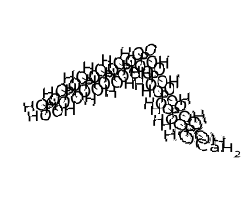 O=P(O)(O)O.O=P(O)(O)O.O=P(O)(O)O.O=P(O)(O)O.O=P(O)(O)O.O=P(O)(O)O.O=P(O)(O)O.O=P(O)(O)O.O=P(O)(O)O.O=P(O)(O)O.[CaH2]